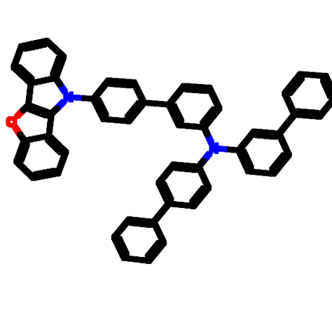 c1ccc(-c2ccc(N(c3cccc(-c4ccccc4)c3)c3cccc(-c4ccc(-n5c6ccccc6c6oc7ccccc7c65)cc4)c3)cc2)cc1